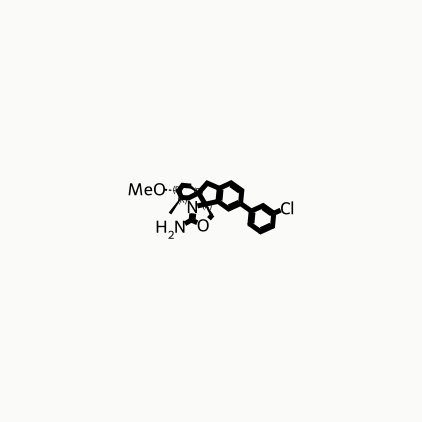 CO[C@@H]1CC[C@]2(Cc3ccc(-c4cccc(Cl)c4)cc3[C@@]23COC(N)=N3)C[C@H]1C